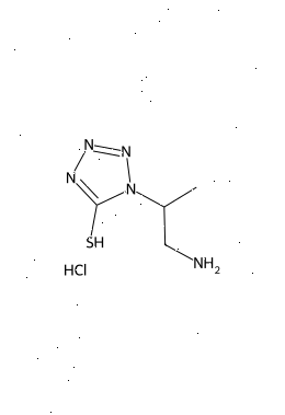 CC(CN)n1nnnc1S.Cl